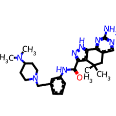 CN(C)C1CCN(Cc2cccc(NC(=O)c3n[nH]c4c3C(C)(C)Cc3cnc(N)nc3-4)c2)CC1